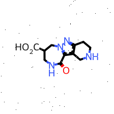 O=C1NCC(C(=O)O)Cn2nc3c(c21)CNCC3